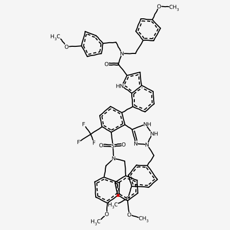 COc1ccc(CN2N=C(c3c(-c4cccc5cc(C(=O)N(Cc6ccc(OC)cc6)Cc6ccc(OC)cc6)[nH]c45)ccc(C(F)(F)F)c3S(=O)(=O)N(Cc3ccc(OC)cc3)Cc3ccc(OC)cc3)NN2)cc1